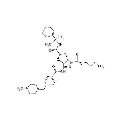 COCCOC(=O)n1nc(NC(=O)c2ccc(CN3CCN(C)CC3)cc2)c2oc(C(=O)NC(C)(C)c3ccccc3)cc21